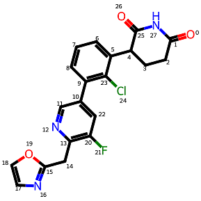 O=C1CCC(c2cccc(-c3cnc(Cc4ncco4)c(F)c3)c2Cl)C(=O)N1